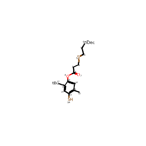 CCCCCCCCCCCCSCCC(=O)Oc1cc(C)c(S)cc1C(C)(C)C